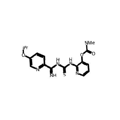 CNC(=O)Oc1cccnc1NC(=S)NC(=N)c1ccc(OC(C)C)cn1